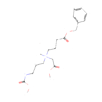 CC(C)(C)OC(=O)C[N+](C)(CCCNC(=O)OC(C)(C)C)CCCC(=O)OCc1ccccc1.[Br-]